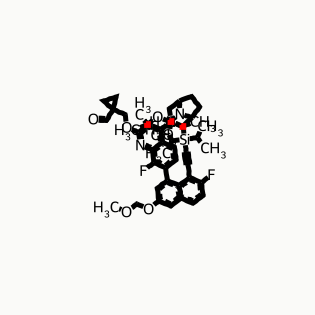 COCOc1cc(-c2ccc3c(N4CC5CCC(C4)N5C(=O)OC(C)(C)C)nc(OCC4(C=O)CC4)nc3c2F)c2c(C#C[Si](C(C)C)(C(C)C)C(C)C)c(F)ccc2c1